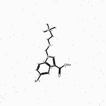 COC(=O)c1cn(COCC[Si](C)(C)C)c2ccc(Br)cc12